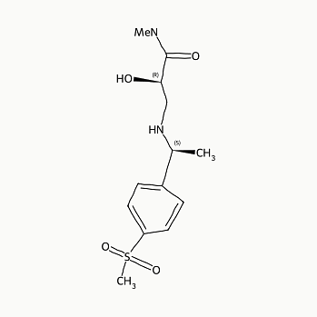 CNC(=O)[C@H](O)CN[C@@H](C)c1ccc(S(C)(=O)=O)cc1